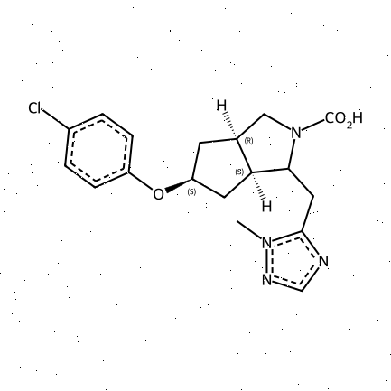 Cn1ncnc1CC1[C@H]2C[C@@H](Oc3ccc(Cl)cc3)C[C@H]2CN1C(=O)O